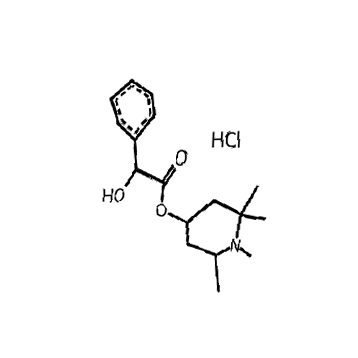 CC1CC(OC(=O)C(O)c2ccccc2)CC(C)(C)N1C.Cl